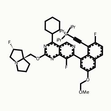 COCOc1cc(-c2ncc3c(C4CCCCC4)nc(OC[C@@]45CCCN4C[C@H](F)C5)nc3c2F)c2c(C#C[Si](C(C)C)(C(C)C)C(C)C)c(F)ccc2c1